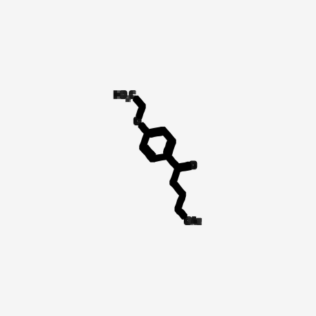 CC(=O)OCCCC(=O)c1ccc(OCC(=O)O)cc1